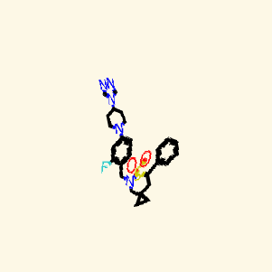 O=S1(=O)C(c2ccccc2)CC2(CC2)CN1Cc1ccc(N2CCC(n3cnnc3)CC2)cc1F